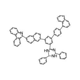 c1ccc(C2N=C(c3cc(-c4ccc(-c5cccc6ccccc56)cc4)cc(-c4ccc5cc(-c6nc7ccccc7c7ccccc67)ccc5c4)c3)NC(c3ccccc3)N2)cc1